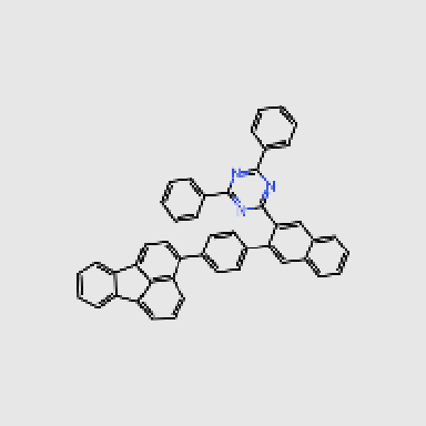 c1ccc(-c2nc(-c3ccccc3)nc(-c3cc4ccccc4cc3-c3ccc(-c4ccc5c6c(cccc46)-c4ccccc4-5)cc3)n2)cc1